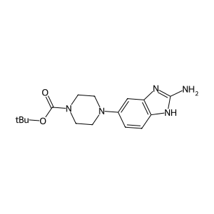 CC(C)(C)OC(=O)N1CCN(c2ccc3[nH]c(N)nc3c2)CC1